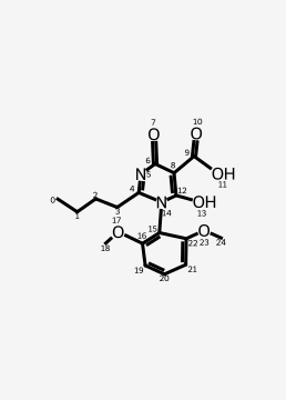 CCCCc1nc(=O)c(C(=O)O)c(O)n1-c1c(OC)cccc1OC